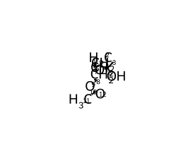 C=C.C=CC(=O)O.C=COC(C)=O